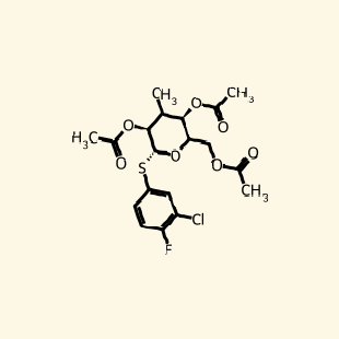 CC(=O)OCC1O[C@H](Sc2ccc(F)c(Cl)c2)[C@@H](OC(C)=O)C(C)[C@H]1OC(C)=O